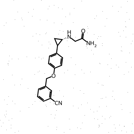 N#Cc1cccc(COc2ccc(C3C[C@@H]3NCC(N)=O)cc2)c1